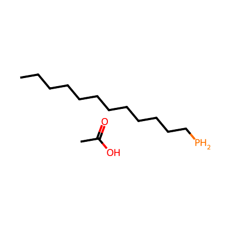 CC(=O)O.CCCCCCCCCCCCP